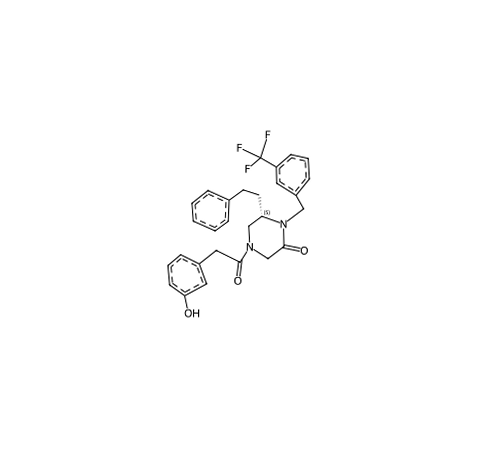 O=C(Cc1cccc(O)c1)N1CC(=O)N(Cc2cccc(C(F)(F)F)c2)[C@@H](CCc2ccccc2)C1